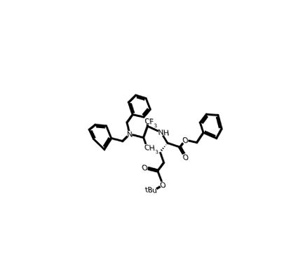 CC(C(N[C@@H](CCC(=O)OC(C)(C)C)C(=O)OCc1ccccc1)C(F)(F)F)N(Cc1ccccc1)Cc1ccccc1